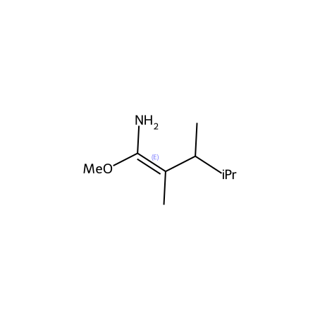 CO/C(N)=C(\C)C(C)C(C)C